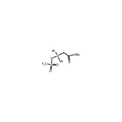 CCCCC(=O)CS(OS(=O)(=O)C(F)(F)F)(C(C)C)C(C)C